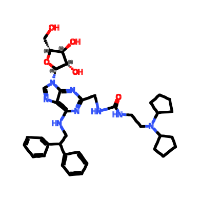 O=C(NCCN(C1CCCC1)C1CCCC1)NCc1nc(NCC(c2ccccc2)c2ccccc2)c2ncn([C@@H]3O[C@H](CO)[C@@H](O)[C@@H]3O)c2n1